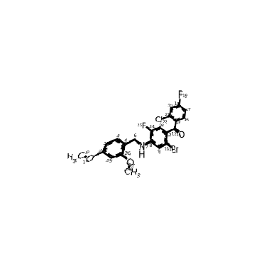 COc1ccc(CNc2cc(Br)c(C(=O)c3ccc(F)cc3Cl)cc2F)c(OC)c1